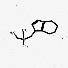 CC[Si](C)(C)CC1[C]=CC2=C1CCCC2